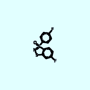 O=S1(c2ccc(F)cc2)=NSc2cc(F)ccc21